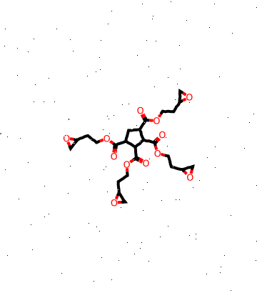 O=C(OCCC1CO1)C1CC(C(=O)OCCC2CO2)C(C(=O)OCCC2CO2)C1C(=O)OCCC1CO1